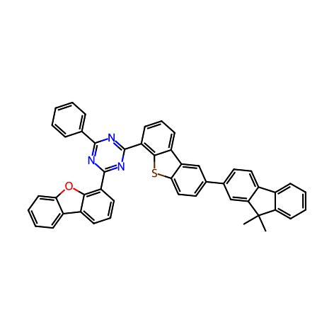 CC1(C)c2ccccc2-c2ccc(-c3ccc4sc5c(-c6nc(-c7ccccc7)nc(-c7cccc8c7oc7ccccc78)n6)cccc5c4c3)cc21